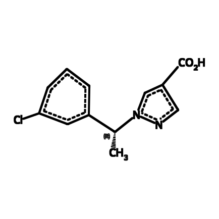 C[C@H](c1cccc(Cl)c1)n1cc(C(=O)O)cn1